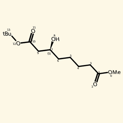 COC(=O)CCCC[C@H](O)CC(=O)OC(C)(C)C